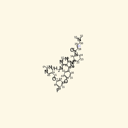 Cc1ncc(COc2cc(F)cc(Oc3ccc(-c4nn([C@@H]5CCCN(C(=O)/C=C/CN(C)C)C5)c5ncnc(N)c45)cc3)c2)cn1